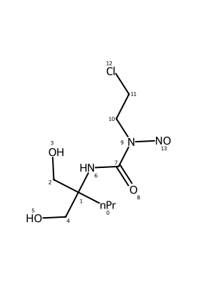 CCCC(CO)(CO)NC(=O)N(CCCl)N=O